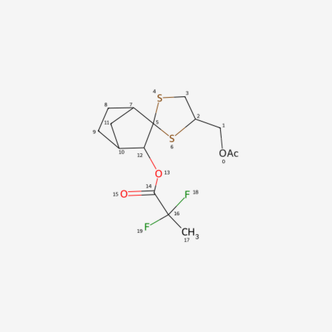 CC(=O)OCC1CSC2(S1)C1CCC(C1)C2OC(=O)C(C)(F)F